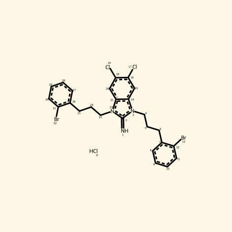 Cl.N=c1n(CCCc2ccccc2Br)c2cc(Cl)c(Cl)cc2n1CCCc1ccccc1Br